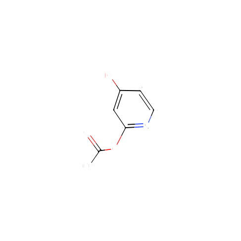 CC(C)C(=O)Oc1cc(O)ccn1